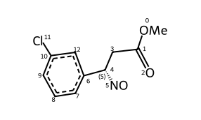 COC(=O)C[C@H](N=O)c1cccc(Cl)c1